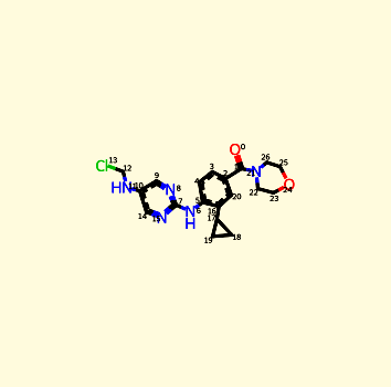 O=C(c1ccc(Nc2ncc(NCCl)cn2)c(C2CC2)c1)N1CCOCC1